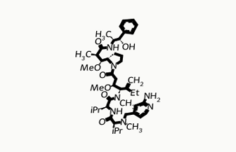 C=C(CC)[C@@H]([C@@H](CC(=O)N1CCC[C@H]1[C@H](OC)[C@@H](C)C(=O)N[C@H](C)[C@@H](O)c1ccccc1)OC)N(C)C(=O)[C@@H](NC(=O)[C@H](C(C)C)N(C)Cc1ccnc(N)c1)C(C)C